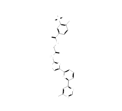 Cc1cc(-c2cccc(-c3csc(NC(=O)CNC(=O)c4ccc(C)c(S(=O)(=O)C(C)C)c4)n3)n2)ncn1